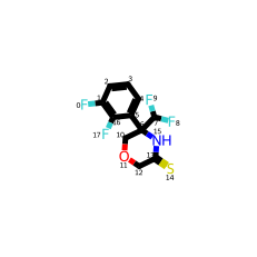 Fc1cccc(C2(C(F)F)COCC(=S)N2)c1F